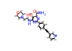 NC(=O)c1nc(-c2ccc(C#Cc3cccnc3)cc2)nc(NCCN2CCOCC2)c1O